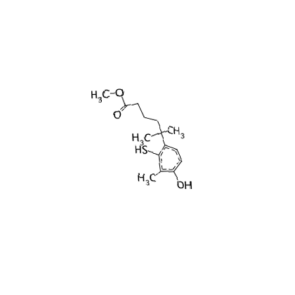 COC(=O)CCCC(C)(C)c1ccc(O)c(C)c1S